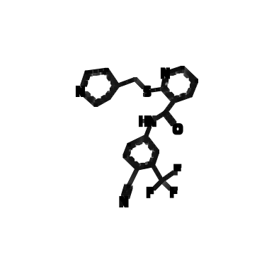 N#Cc1ccc(NC(=O)c2cccnc2SCc2ccncc2)cc1C(F)(F)F